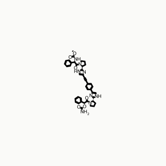 COC(=O)N[C@@H](C(=O)N1CCC[C@H]1c1nc(C#Cc2ccc(-c3c[nH]c([C@@H]4CCCN4C(=O)[C@H](OC(N)=O)c4ccccc4)n3)cc2)c[nH]1)c1ccccc1